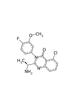 COc1cc(-n2c([C@H](C)N)nc3cccc(Cl)c3c2=O)ccc1F